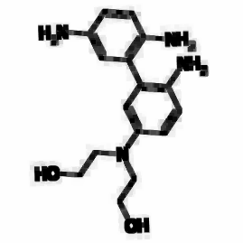 Nc1ccc(N)c(-c2cc(N(CCO)CCO)ccc2N)c1